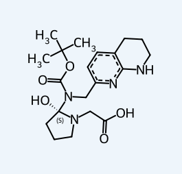 CC(C)(C)OC(=O)N(Cc1ccc2c(n1)NCCC2)[C@]1(O)CCCN1CC(=O)O